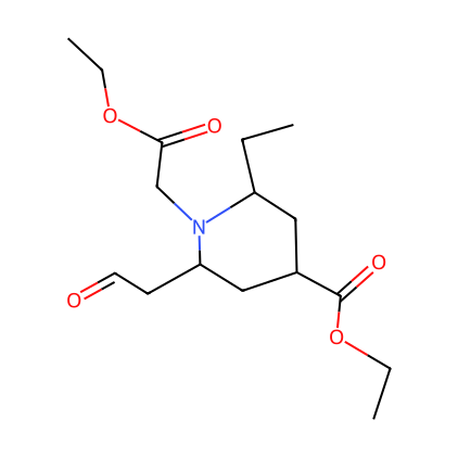 CCOC(=O)CN1C(CC)CC(C(=O)OCC)CC1CC=O